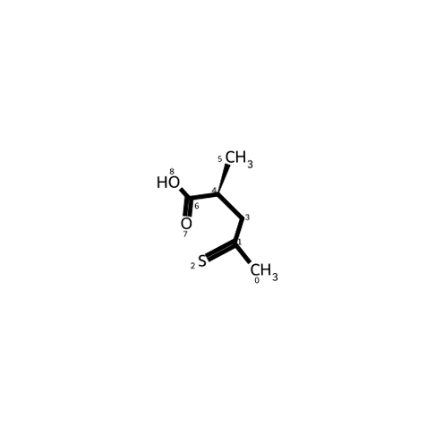 CC(=S)C[C@H](C)C(=O)O